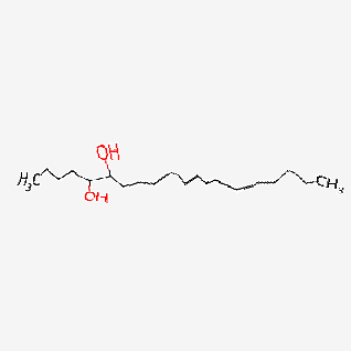 CCCCCCCCCCCCCCC(O)C(O)CCCC